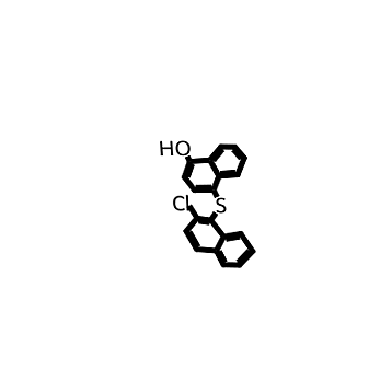 Oc1ccc(Sc2c(Cl)ccc3ccccc23)c2ccccc12